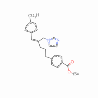 CC(C)(C)OC(=O)c1ccc(CCC/C(=C/c2ccc(C(=O)O)cc2)Cn2ccnc2)cc1